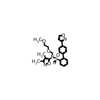 COCCOCN(c1onc(C)c1C)S(=O)(=O)c1ccccc1-c1ccc(-c2ccon2)cc1